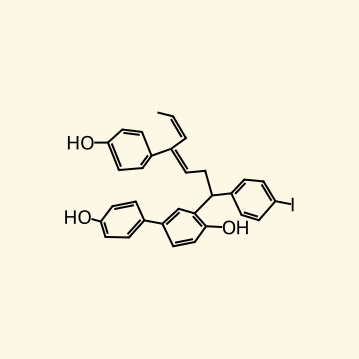 C/C=C\C(=C/CC(c1ccc(I)cc1)c1cc(-c2ccc(O)cc2)ccc1O)c1ccc(O)cc1